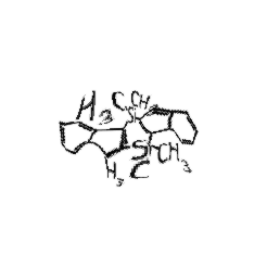 C[Si]1(C)C2=C(C3C=CC=CC3=C2)[Si](C)(C)C2=C1c1ccccc1C2